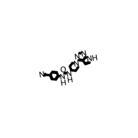 N#Cc1ccc(NC(=O)NC2CCN(c3ncnc4[nH]ccc34)CC2)cc1